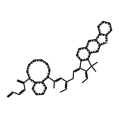 C=C/C=C\C(=C)c1ccccccc(/C(C)=C/C(=C\C)C/C=C2\C(=C/C)C(C)(C)c3c2ccc2cc4c(cc32)sc2ccccc24)c2ccccc12